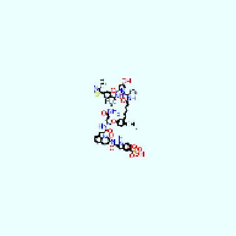 Cc1ccc(OC[C@H](CCC(N)=O)NC(=O)[C@@H]2Cc3cccc4c3N2C(=O)[C@@H](NC(=O)c2cc3cc(C(=O)P(=O)(O)O)ccc3[nH]2)CC4)cc1CCCCCC(=O)N[C@H](C(=O)N1C[C@H](O)C[C@H]1C(=O)N[C@@H](C)c1ccc(-c2scnc2C)cc1)C(C)(C)C